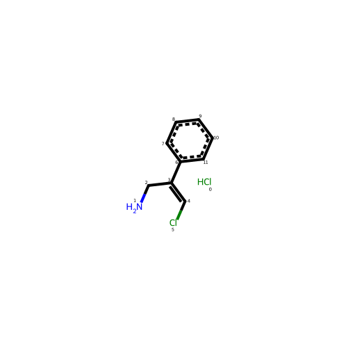 Cl.NCC(=CCl)c1ccccc1